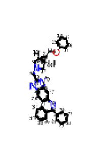 Cn1c(CN2C[C@@H]3[C@@H](COc4ccccc4)[C@@H]3C2)nc2ccc(N=C(c3ccccc3)c3ccccc3)cc21